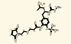 CC(C[C@H](Cc1ccc(OP(=O)(O)O)c(NC(=O)CCOCCN2C(=O)C=CC2=O)c1)NC(=O)OC(C)(C)C)C(=O)O